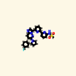 CS(=O)(=O)Nc1cccc(-c2cccc(-c3cnc4ccc(N5CCC[C@@H]5C5=CCCC(F)=C5)nn34)n2)n1